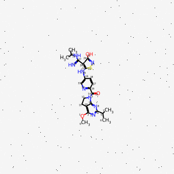 COc1nc(C(C)C)nc2c1CCN2C(=O)c1ccc(Nc2snc(O)c2C(=N)NC(C)C)cn1